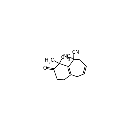 CC1(C)C(=O)CCC2=C1C(C#N)(C#N)CC=CC2